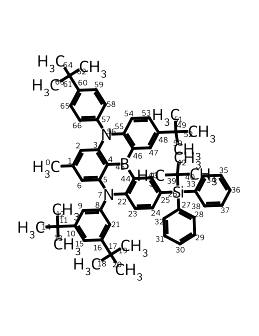 Cc1cc2c3c(c1)N(c1cc(C(C)(C)C)cc(C(C)(C)C)c1)c1ccc([Si](c4ccccc4)(c4ccccc4)C(C)(C)C)cc1B3c1cc(C(C)(C)C)ccc1N2c1ccc(C(C)(C)C)cc1